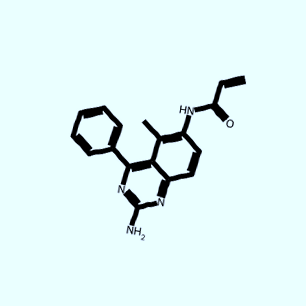 C=CC(=O)Nc1ccc2nc(N)nc(-c3ccccc3)c2c1C